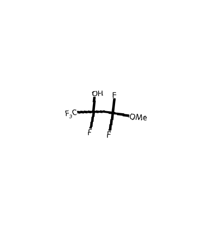 COC(F)(F)C(O)(F)C(F)(F)F